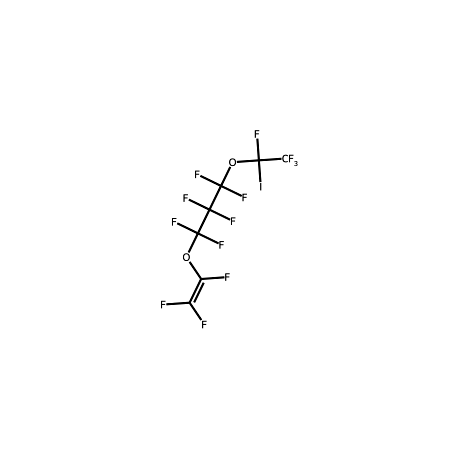 FC(F)=C(F)OC(F)(F)C(F)(F)C(F)(F)OC(F)(I)C(F)(F)F